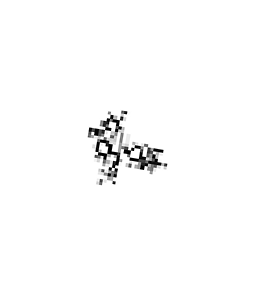 CC(C)(C)Oc1cc(NC2CCN(S(=O)(=O)C(F)(F)F)CC2)c2cc(C(=O)c3ccc(Cl)cc3)ccc2n1